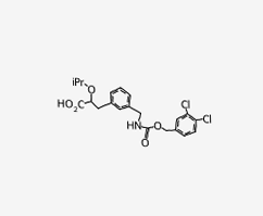 CC(C)OC(Cc1cccc(CNC(=O)OCc2ccc(Cl)c(Cl)c2)c1)C(=O)O